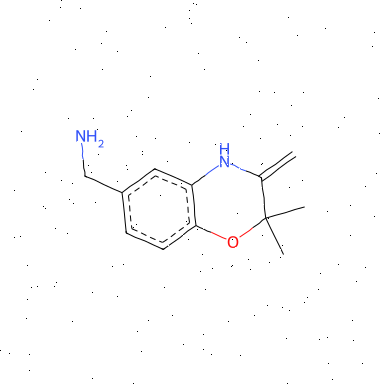 C=C1Nc2cc(CN)ccc2OC1(C)C